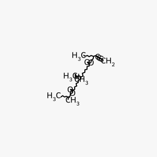 C=C=C=C=CC(CCCCC)CCOC(=O)CCCCCCCC(CCCCCCCC(=O)OCCC(C)CCCCC)CN(C)C